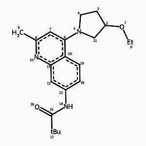 CCOC1CCN(c2cc(C)nc3cc(NC(=O)C(C)(C)C)ccc23)C1